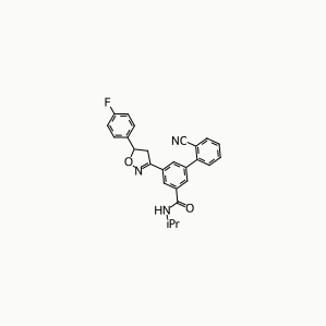 CC(C)NC(=O)c1cc(C2=NOC(c3ccc(F)cc3)C2)cc(-c2ccccc2C#N)c1